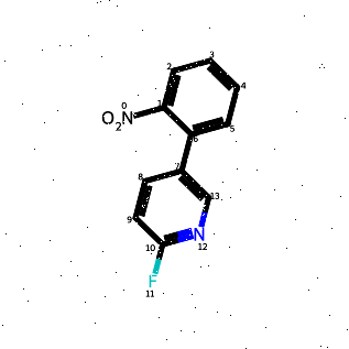 O=[N+]([O-])c1ccccc1-c1ccc(F)nc1